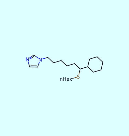 CCCCCCSC(CCCCCn1ccnc1)C1CCCCC1